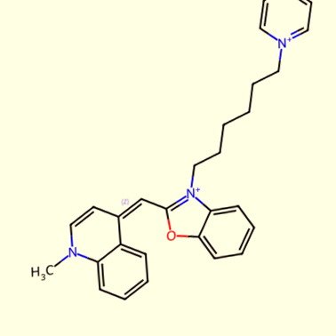 CN1C=C/C(=C/c2oc3ccccc3[n+]2CCCCCC[n+]2ccccc2)c2ccccc21